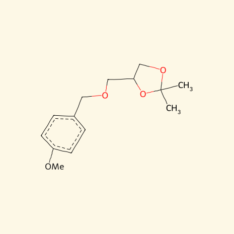 COc1ccc(COCC2COC(C)(C)O2)cc1